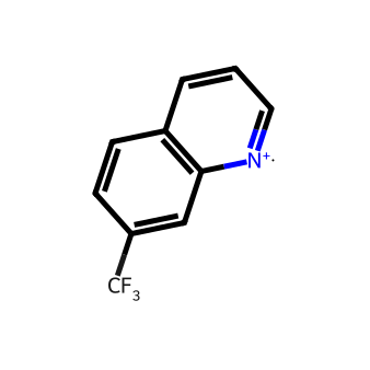 FC(F)(F)c1ccc2c(c1)[N+]=CC=C2